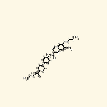 CCCCCc1cc2ccc(C(=O)Nc3ccc(N4CCC(C(=O)NCCN)CC4)nc3)cc2nc1N